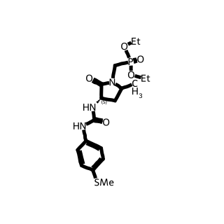 CCOP(=O)(CN1C(=O)[C@@H](NC(=O)Nc2ccc(SC)cc2)CC1C)OCC